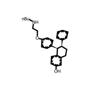 CCCCNCCOc1ccc([C@@H]2c3ccc(O)cc3CC[C@@H]2c2ccccc2)cc1